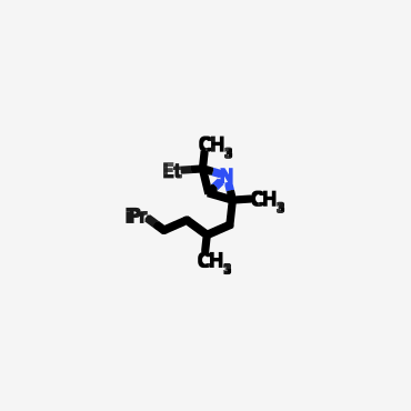 CCC1(C)C2N1C2(C)CC(C)CCC(C)C